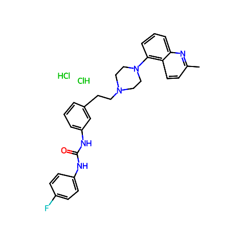 Cc1ccc2c(N3CCN(CCc4cccc(NC(=O)Nc5ccc(F)cc5)c4)CC3)cccc2n1.Cl.Cl